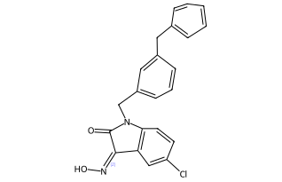 O=C1/C(=N\O)c2cc(Cl)ccc2N1Cc1cccc(Cc2ccccc2)c1